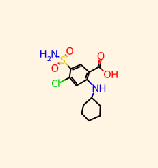 NS(=O)(=O)c1cc(C(=O)O)c(NC2CCCCC2)cc1Cl